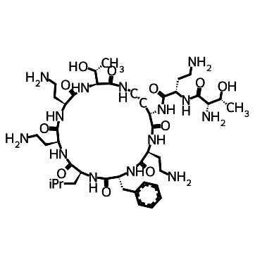 CC(C)C[C@@H]1NC(=O)[C@@H](Cc2ccccc2)NC(=O)[C@H](CCN)NC(=O)[C@@H](NC(=O)[C@H](CCN)NC(=O)[C@@H](N)[C@@H](C)O)CCNC(=O)[C@H]([C@@H](C)O)NC(=O)[C@H](CCN)NC(=O)[C@H](CCN)NC1=O